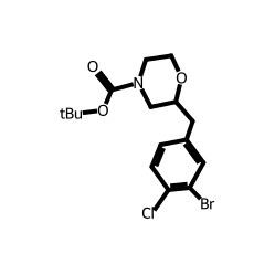 CC(C)(C)OC(=O)N1CCOC(Cc2ccc(Cl)c(Br)c2)C1